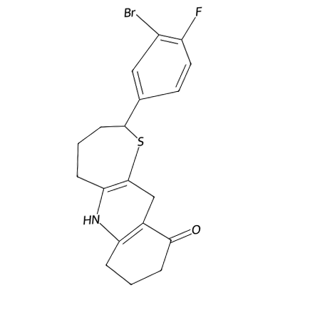 O=C1CCCC2=C1CC1=C(CCCC(c3ccc(F)c(Br)c3)S1)N2